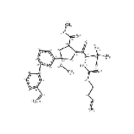 C=CCCOC(=O)N[C@H](C(=O)N1CC(OC)(c2cccc(-c3cccc(C=C)c3)c2)CC1C(=O)OC)C(C)(C)C